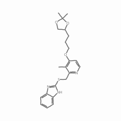 Cc1c(OCCCC2COC(C)(C)O2)ccnc1CSc1nc2ccccc2[nH]1